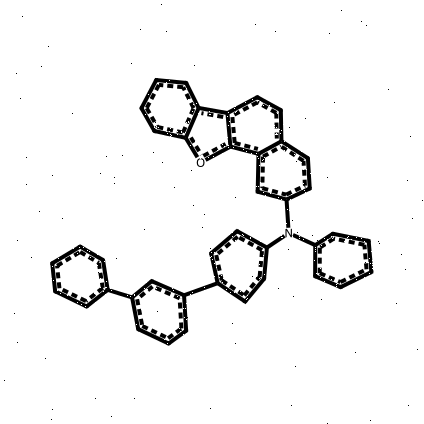 c1ccc(-c2cccc(-c3ccc(N(c4ccccc4)c4ccc5ccc6c7ccccc7oc6c5c4)cc3)c2)cc1